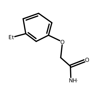 CCc1cccc(OCC([NH])=O)c1